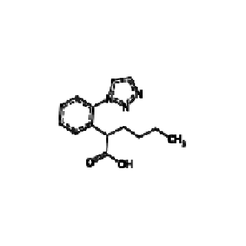 CCCCC(C(=O)O)c1ccccc1-n1ccnn1